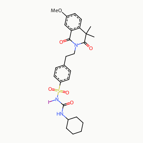 COc1ccc2c(c1)C(=O)N(CCc1ccc(S(=O)(=O)N(I)C(=O)NC3CCCCC3)cc1)C(=O)C2(C)C